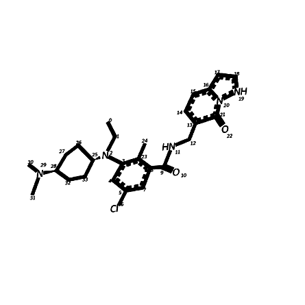 CCN(c1cc(Cl)cc(C(=O)NCc2ccc3cc[nH]n3c2=O)c1C)[C@H]1CC[C@H](N(C)C)CC1